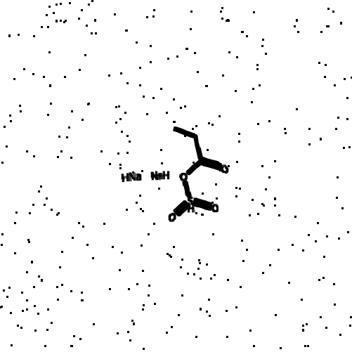 CCC(=O)O[SH](=O)=O.[NaH].[NaH]